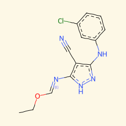 CCO/C=N/c1[nH]nc(Nc2cccc(Cl)c2)c1C#N